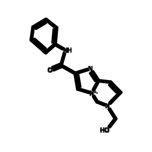 O=C(Nc1ccccc1)C1=C[N+]2CN(CO)C=CC2=N1